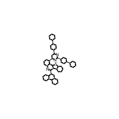 c1ccc(-c2ccc(-c3cc(-c4cccc5nc(-c6cc7ccccc7c7ccccc67)c6c7ccccc7sc6c45)nc(-c4ccc(-c5ccccc5)cc4)n3)cc2)cc1